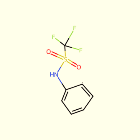 O=S(=O)(Nc1[c]cccc1)C(F)(F)F